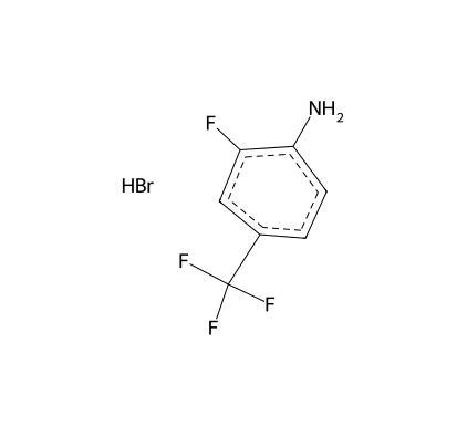 Br.Nc1ccc(C(F)(F)F)cc1F